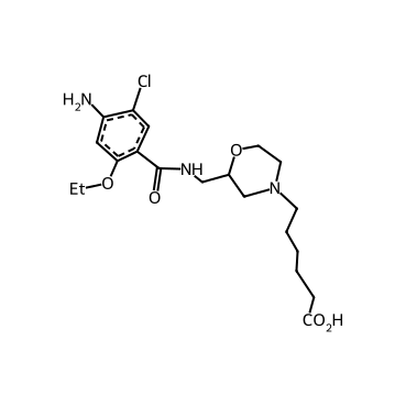 CCOc1cc(N)c(Cl)cc1C(=O)NCC1CN(CCCCCC(=O)O)CCO1